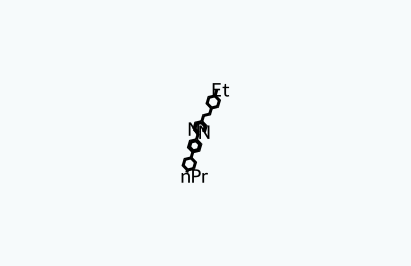 CCCC1CCC(c2ccc(-c3ncc(CCC4CCC(CC)CC4)cn3)cc2)CC1